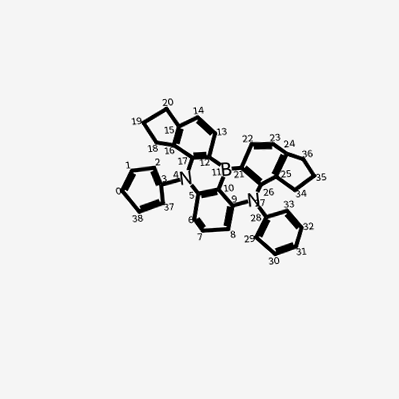 c1ccc(N2c3cccc4c3B(c3ccc5c(c32)CCC5)c2ccc3c(c2N4c2ccccc2)CCC3)cc1